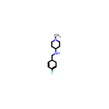 CN1CCC(NCC2C=CC(F)=CC2)CC1